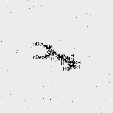 CCCCCCCCCCCCCC(=O)OC[C@H](CSC[C@@H](N)C(=O)Nc1cn(C2OC(CO)C(O)C(O)C2O)nn1)OC(=O)CCCCCCCCCCCCC